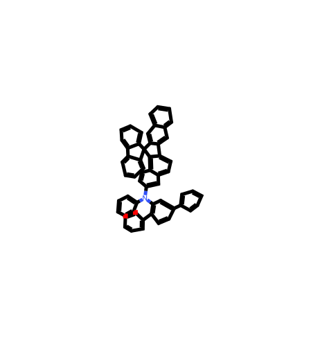 c1ccc(-c2ccc(-c3ccccc3)c(N(c3ccccc3)c3ccc4c5c(ccc4c3)-c3cc4ccccc4cc3C53c4ccccc4-c4ccccc43)c2)cc1